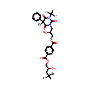 CCC(C)(CC)CC(O)COC(=O)c1ccc(C(=O)OCC(O)CN2C(=O)N(C(C)(CC)CC)C(=O)C(CC)(c3ccccc3)C2=O)cc1